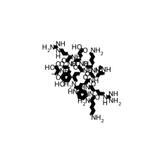 C[C@@H](O)[C@H](NC(=O)[C@@H](Cc1ccc(O)cc1)NC(=O)[C@H](CCCNC(=N)N)NC(=O)[C@H](CCC(=O)O)NC(=O)[C@@H](CCCCN)NC(=O)[C@@H](CCCCN)NC(=O)[C@H](Cc1c[nH]cn1)NC(=O)[C@H](Cc1c[nH]c2ccccc12)NC(=O)[C@@H](CCCNC(=N)N)NC(=O)[C@@H](N)CCCCN)C(=O)O